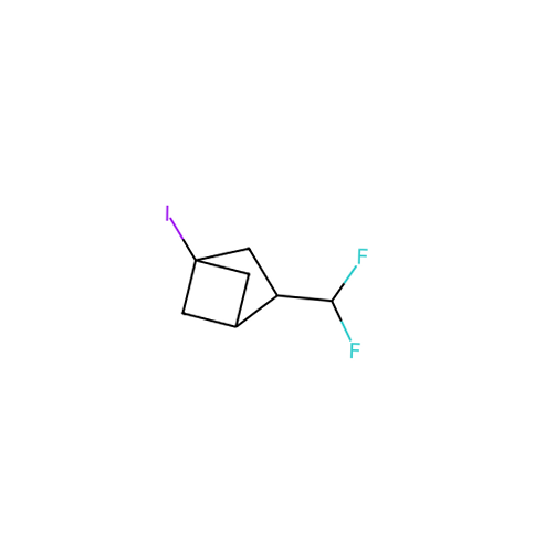 FC(F)C1CC2(I)CC1C2